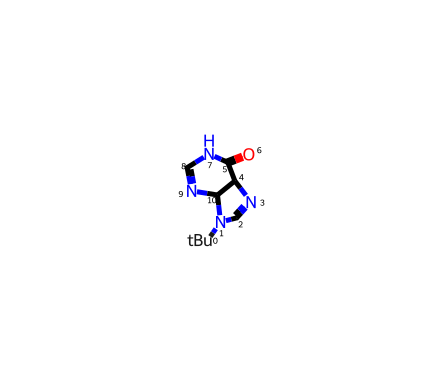 CC(C)(C)N1C=NC2C(=O)NC=NC21